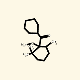 COC1(C(=O)C2CCCCC2)C(C)CCCC1(C)C